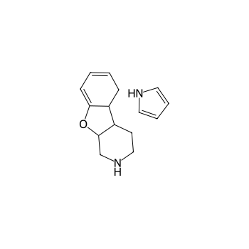 C1=CCC2C(=C1)OC1CNCCC12.c1cc[nH]c1